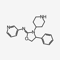 c1ccc(C2COC(=Nc3cccnc3)N2C2CCNCC2)cc1